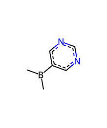 CB(C)c1cncnc1